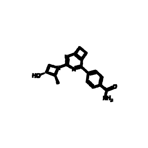 C[C@H]1[C@H](O)CN1c1nc2c(c(-c3ccc(C(N)=O)cc3)n1)CC2